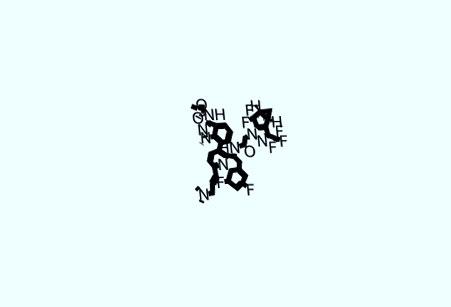 CN(C)CC#Cc1ccc(-c2cccc3c(NS(C)(=O)=O)nn(C)c23)c(C(CC2=CC(F)=CC(F)C2)NC(=O)Cn2nc(C(F)(F)F)c3c2C(F)(F)[C@@H]2C[C@H]32)n1